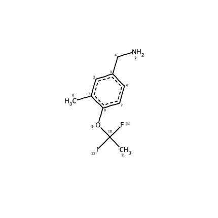 Cc1cc(CN)ccc1OC(C)(F)I